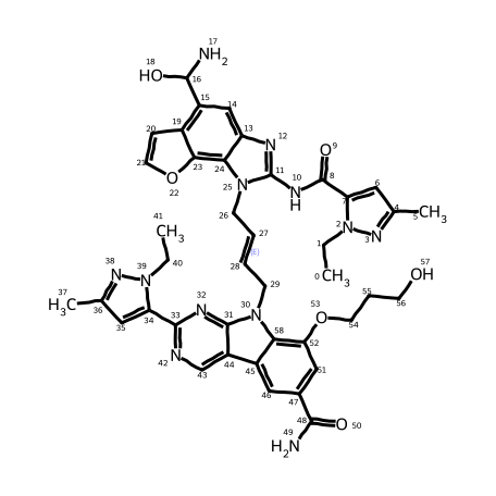 CCn1nc(C)cc1C(=O)Nc1nc2cc(C(N)O)c3ccoc3c2n1C/C=C/Cn1c2nc(-c3cc(C)nn3CC)ncc2c2cc(C(N)=O)cc(OCCCO)c21